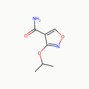 CC(C)Oc1nocc1C(N)=O